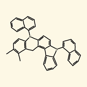 Cc1ccc2c(c1C)Cc1c(ccc3c1c1ccccc1n3-c1cccc3ccccc13)N2c1cccc2ccccc12